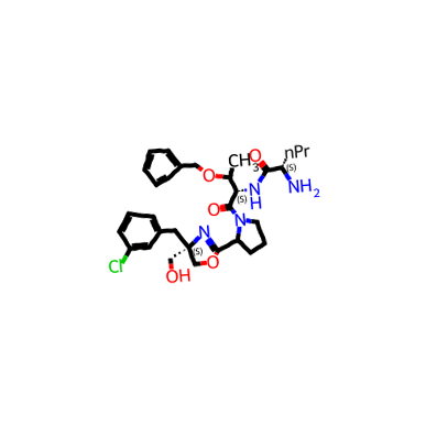 CCC[C@H](N)C(=O)N[C@H](C(=O)N1CCCC1C1=N[C@](CO)(Cc2cccc(Cl)c2)CO1)C(C)OCc1ccccc1